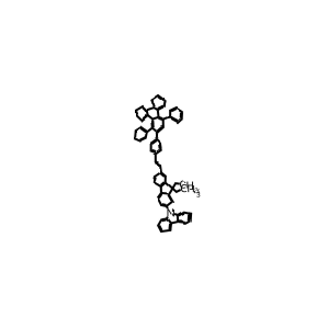 CCC1(CC)c2cc(/C=C/c3ccc(-c4cc(-c5ccccc5)c5c6ccccc6c6ccccc6c5c4-c4ccccc4)cc3)ccc2-c2ccc(-n3c4ccccc4c4ccccc43)cc21